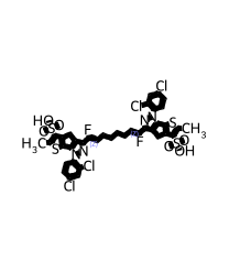 Cc1sc2c(c1S(=O)(=O)O)Cc1c(/C(F)=C/CCCC/C=C(\F)c3nn(-c4ccc(Cl)cc4Cl)c4c3Cc3c-4sc(C)c3S(=O)(=O)O)nn(-c3ccc(Cl)cc3Cl)c1-2